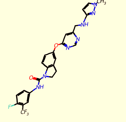 Cn1ccc(NCc2cc(Oc3ccc4c(c3)CCN4C(=O)Nc3ccc(F)c(C(F)(F)F)c3)ncn2)n1